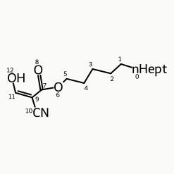 CCCCCCCCCCCCOC(=O)/C(C#N)=C\O